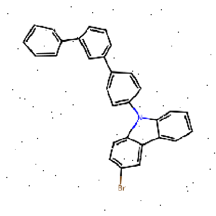 Brc1ccc2c(c1)c1ccccc1n2-c1ccc(-c2cccc(-c3ccccc3)c2)cc1